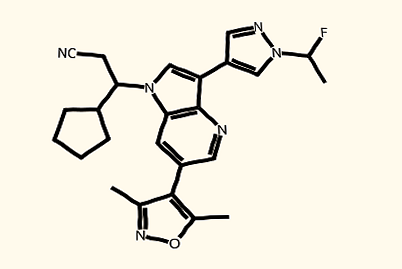 Cc1noc(C)c1-c1cnc2c(-c3cnn(C(C)F)c3)cn(C(CC#N)C3CCCC3)c2c1